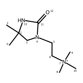 CC1(C)CN(CC[N+](C)(C)C)C(=O)N1